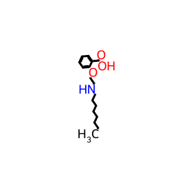 CCCCCCCCNCCOc1ccccc1C(=O)O